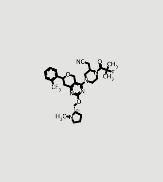 CN1CCC[C@H]1COc1nc2c(c(N3CCN(C(=O)C(C)(C)F)C(CC#N)C3)n1)COC(c1ccccc1C(F)(F)F)C2